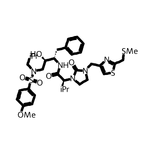 COc1ccc(S(=O)(=O)N(CC(C)C)C[C@@H](O)[C@H](Cc2ccccc2)NC(=O)[C@H](C(C)C)N2CCN(Cc3csc(CSC)n3)C2=O)cc1